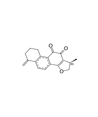 C=C1CCCc2c1ccc1c2C(=O)C(=O)C2=C1OC[C@@H]2C